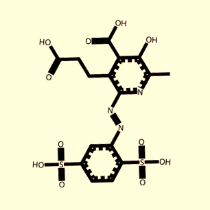 Cc1nc(/N=N/c2cc(S(=O)(=O)O)ccc2S(=O)(=O)O)c(CCC(=O)O)c(C(=O)O)c1O